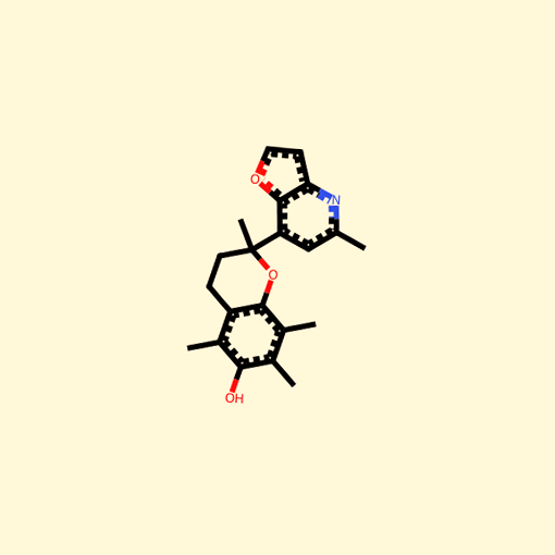 Cc1cc(C2(C)CCc3c(C)c(O)c(C)c(C)c3O2)c2occc2n1